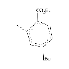 CCOC(=O)c1ccc(C(C)(C)C)cc1C